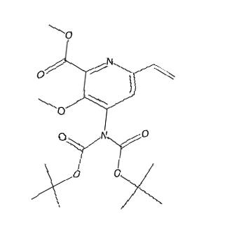 C=Cc1cc(N(C(=O)OC(C)(C)C)C(=O)OC(C)(C)C)c(OC)c(C(=O)OC)n1